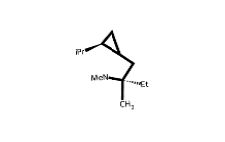 CC[C@@](C)(CC1C[C@@H]1C(C)C)NC